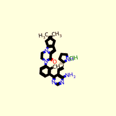 Cc1c(-c2ncnc(N)c2C=C[C@@H]2CCCN2)cccc1N1CCn2c(cc3c2CC(C)(C)C3)C1=O.Cl